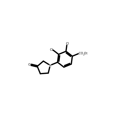 CCOC(=O)c1ccc(N2CCC(=O)C2)c(Cl)c1Cl